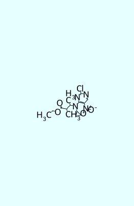 CCOC(=O)C(C)C(C)N(c1nc(Cl)ncc1[N+](=O)[O-])C1CC1